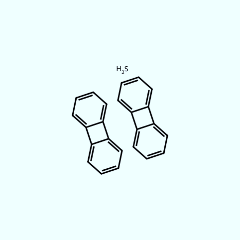 S.c1ccc2c(c1)-c1ccccc1-2.c1ccc2c(c1)-c1ccccc1-2